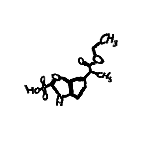 CCOC(=O)C(C)c1ccc2c(c1)OC(S(=O)(=O)O)N2